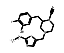 CNc1ncc(CN2CCB(C#N)C(Cc3ccc(F)c(O)c3)C2)s1